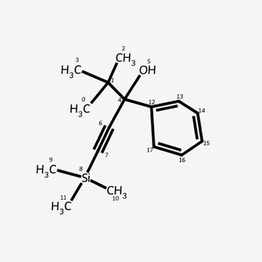 CC(C)(C)C(O)(C#C[Si](C)(C)C)c1ccccc1